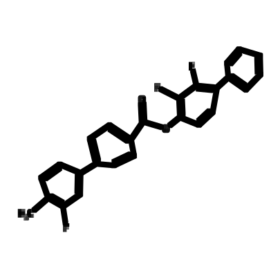 Cc1ccc(-c2ccc(C(=O)Oc3ccc(-c4ccccc4)c(F)c3F)cc2)cc1F